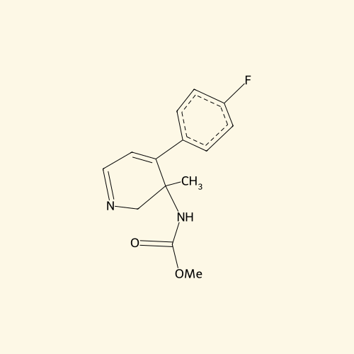 COC(=O)NC1(C)CN=CC=C1c1ccc(F)cc1